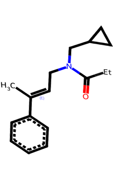 CCC(=O)N(C/C=C(\C)c1ccccc1)CC1CC1